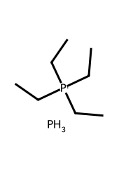 CC[P](CC)(CC)CC.P